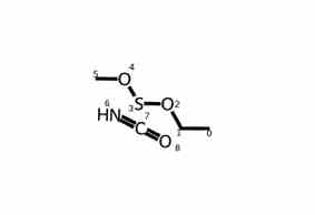 CCOSOC.N=C=O